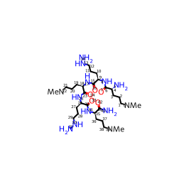 CNCCC[C@@H](N)C(=O)N[C@H](CCCNN)C(=O)N[C@H](CCCNC)C(=O)N[C@H](CCCNN)C(=O)N[C@H](CCCNC)C(N)=O